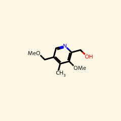 COCc1cnc(CO)c(OC)c1C